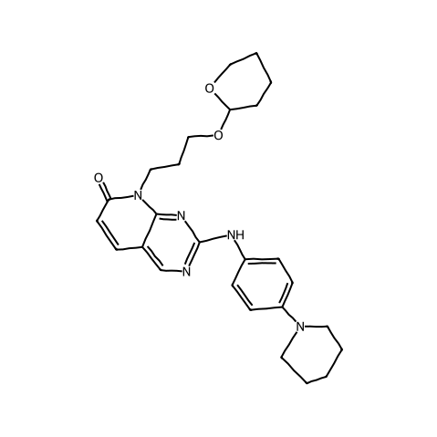 O=c1ccc2cnc(Nc3ccc(N4CCCCC4)cc3)nc2n1CCCOC1CCCCO1